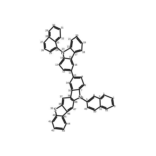 c1ccc2cc(-n3c4ccc(-c5ccc6c(c5)c5ccccc5n6-c5cccc6ccccc56)cc4c4cc5sc6ccccc6c5cc43)ccc2c1